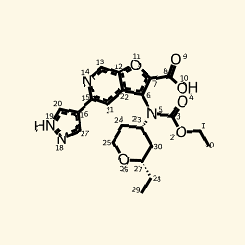 CCOC(=O)N(c1c(C(=O)O)oc2cnc(-c3cn[nH]c3)cc12)[C@H]1CCO[C@@H](CC)C1